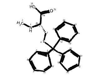 CN[C@@H](CSC(c1ccccc1)(c1ccccc1)c1ccccc1)C(=O)O